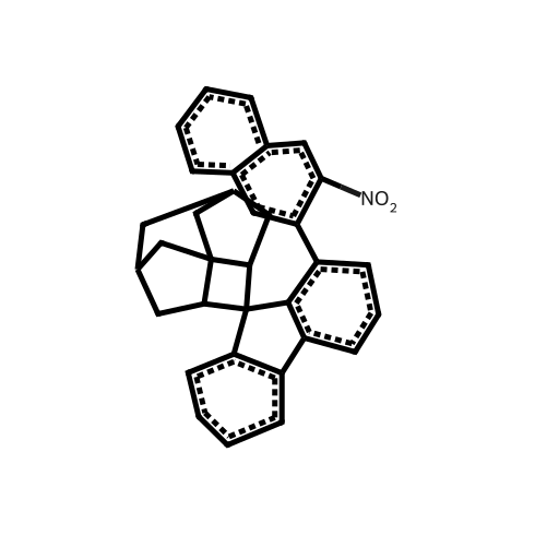 O=[N+]([O-])c1cc2ccccc2cc1-c1cccc2c1C1(c3ccccc3-2)C2CC3CC4CC1C2(C3)C4